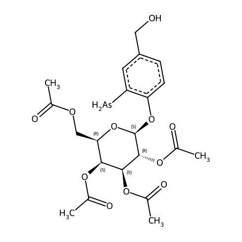 CC(=O)OC[C@H]1O[C@@H](Oc2ccc(CO)cc2[AsH2])[C@H](OC(C)=O)[C@@H](OC(C)=O)[C@H]1OC(C)=O